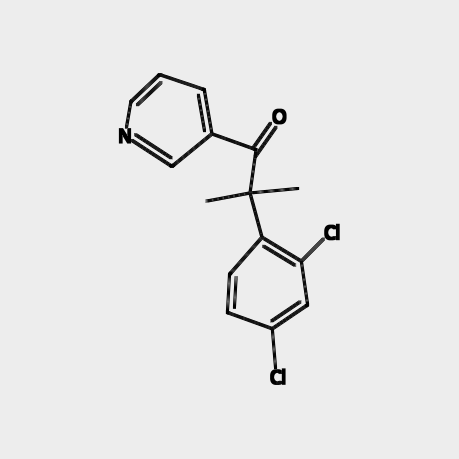 CC(C)(C(=O)c1cccnc1)c1ccc(Cl)cc1Cl